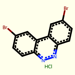 Brc1ccc2nnc3ccc(Br)cc3c2c1.Cl